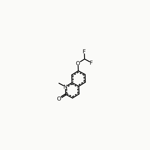 Cn1c(=O)ccc2ccc(OC(F)F)cc21